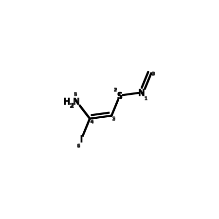 C=NS/C=C(\N)I